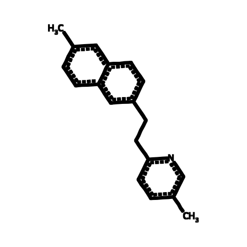 Cc1ccc(CCc2ccc3cc(C)ccc3c2)nc1